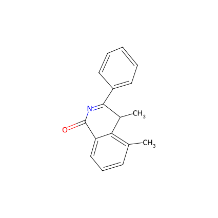 Cc1cccc2c1C(C)C(c1ccccc1)=NC2=O